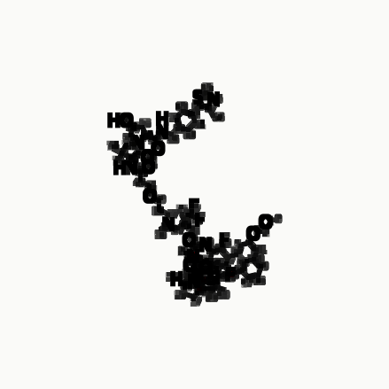 COCOc1cc(-c2c(F)cc3c(N4C[C@H]5CC[C@@](C)(C4)N5C(=O)OC(C)(C)C)nc(OC[C@]4(CN(C)CCCOCCC(=O)N[C@H](C(=O)N5C[C@H](O)C[C@H]5C(=O)NCc5ccc(-c6scnc6C)cc5)C(C)(C)C)CC4(F)F)nc3c2F)c2c(C#C[Si](C(C)C)(C(C)C)C(C)C)cccc2c1